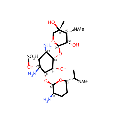 CNC(C)[C@@H]1CC[C@@H](N)[C@@H](O[C@H]2[C@@H](O)[C@@H](O[C@H]3OC[C@](C)(O)[C@H](NC)[C@@H]3O)[C@H](N)C[C@@H]2N)O1.O=S(=O)(O)O